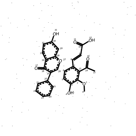 COc1c(O)ccc(C=CC(=O)O)c1C(C)=O.O=c1c(-c2ccccc2)coc2cc(O)ccc12